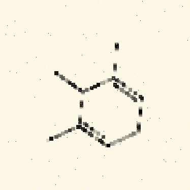 CC1=CCC=C(C)C1C